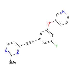 CSc1nccc(C#Cc2cc(F)cc(Oc3cccnc3)c2)n1